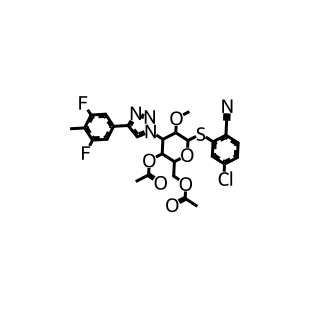 COC1C(Sc2cc(Cl)ccc2C#N)OC(COC(C)=O)C(OC(C)=O)C1n1cc(-c2cc(F)c(C)c(F)c2)nn1